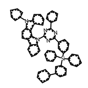 c1ccc(-c2cccc([Si](c3ccccc3)(c3ccccc3)c3cccc(-c4nc(-c5ccccc5)nc(-n5c6ccccc6c6ccc7c(c8ccccc8n7-c7ccccc7)c65)n4)c3)c2)cc1